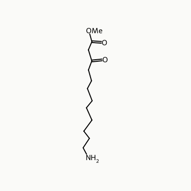 COC(=O)CC(=O)CCCCCCCCCN